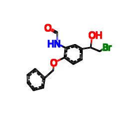 O=CNc1cc(C(O)CBr)ccc1OCc1ccccc1